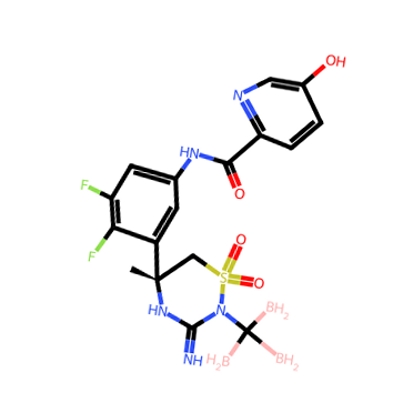 BC(B)(B)N1C(=N)N[C@](C)(c2cc(NC(=O)c3ccc(O)cn3)cc(F)c2F)CS1(=O)=O